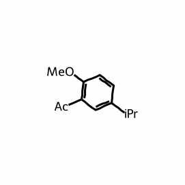 COc1ccc(C(C)C)cc1C(C)=O